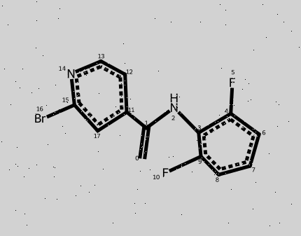 C=C(Nc1c(F)cccc1F)c1ccnc(Br)c1